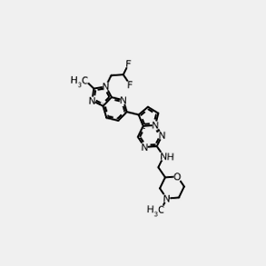 Cc1nc2ccc(-c3ccn4nc(NCC5CN(C)CCO5)ncc34)nc2n1CC(F)F